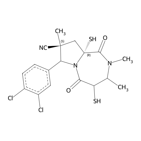 CC1C(S)C(=O)N2C(c3ccc(Cl)c(Cl)c3)[C@@](C)(C#N)C[C@@]2(S)C(=O)N1C